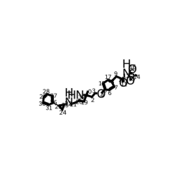 CC1(CCOc2ccc(CC(=O)NS(C)(=O)=O)cc2)CC(CN[C@@H]2C[C@H]2c2ccccc2)N1